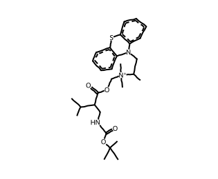 CC(C)C(CNC(=O)OC(C)(C)C)C(=O)OC[N+](C)(C)C(C)CN1c2ccccc2Sc2ccccc21